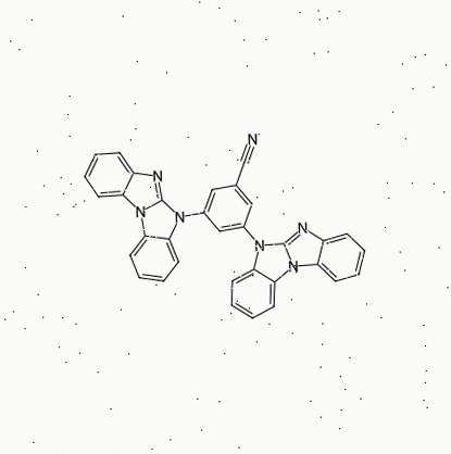 N#Cc1cc(-n2c3ccccc3n3c4ccccc4nc23)cc(-n2c3ccccc3n3c4ccccc4nc23)c1